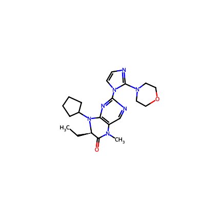 CC[C@@H]1C(=O)N(C)c2cnc(-n3ccnc3N3CCOCC3)nc2N1C1CCCC1